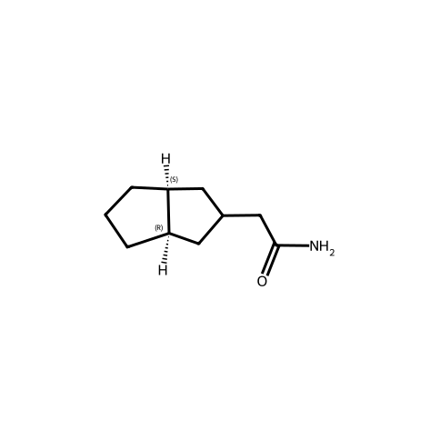 NC(=O)CC1C[C@H]2CCC[C@H]2C1